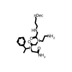 CCCCCCCCCCCCCNCC(=O)N(CCN)CC(=O)N(CC(N)=O)C(C)c1ccccc1